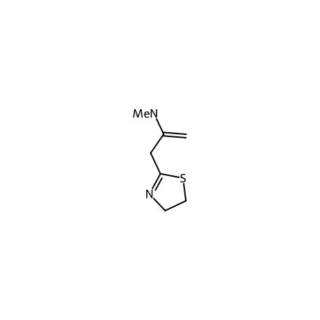 C=C(CC1=NCCS1)NC